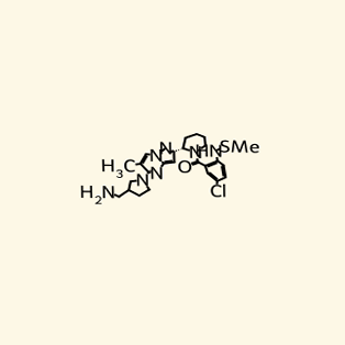 CSNc1ccc(Cl)cc1C(=O)N1CCCC[C@H]1c1cc2nc(N3CCC(CN)C3)c(C)cn2n1